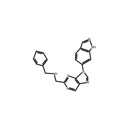 c1ccc(CNCc2ncc3ncn(-c4ccc5cn[nH]c5c4)c3n2)cc1